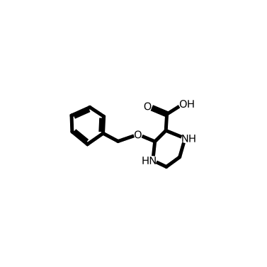 O=C(O)C1NCCNC1OCc1ccccc1